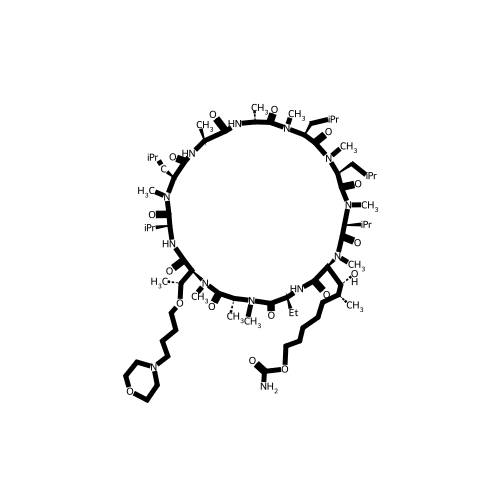 CC[C@@H]1NC(=O)[C@H]([C@H](O)[C@H](C)CCCCCOC(N)=O)N(C)C(=O)[C@H](C(C)C)N(C)C(=O)[C@H](CC(C)C)N(C)C(=O)[C@H](CC(C)C)N(C)C(=O)[C@@H](C)NC(=O)[C@H](C)NC(=O)[C@H](CC(C)C)N(C)C(=O)[C@H](C(C)C)NC(=O)[C@H]([C@@H](C)OCCCCN2CCOCC2)N(C)C(=O)[C@@H](C)N(C)C1=O